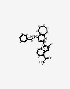 Cc1cc2c(C(N)=O)cccn2c1-c1nc2c(c(NCc3ccccc3)n1)CCCCC2